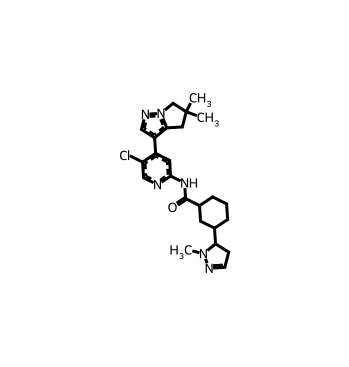 CN1N=CCC1C1CCCC(C(=O)Nc2cc(-c3cnn4c3CC(C)(C)C4)c(Cl)cn2)C1